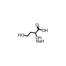 O=C(O)C(O)CCO.[NaH]